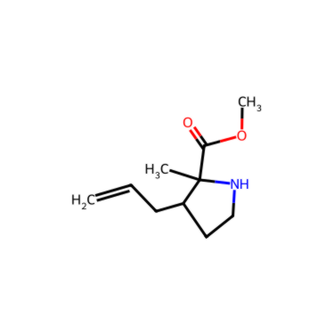 C=CCC1CCNC1(C)C(=O)OC